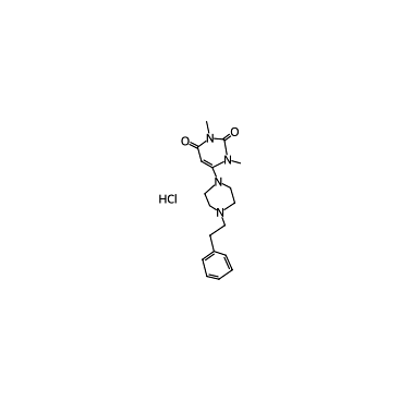 Cl.Cn1c(N2CCN(CCc3ccccc3)CC2)cc(=O)n(C)c1=O